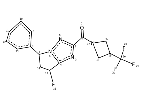 O=C(c1nc2n(n1)C(c1ccccc1)CC2F)N1CC(C(F)(F)F)C1